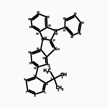 CC(C)(O)c1ccccc1-c1ccc2c(c1)nc1n(-c3ccccc3)c3ccccc3n21